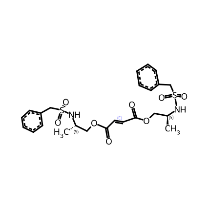 C[C@@H](COC(=O)/C=C/C(=O)OC[C@H](C)NS(=O)(=O)Cc1ccccc1)NS(=O)(=O)Cc1ccccc1